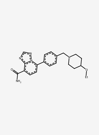 CCOC1CCN(Cc2ccc(-c3ccc(C(N)=O)c4n[c]nn34)cc2)CC1